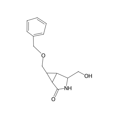 O=C1NC(CO)C2C(COCc3ccccc3)C12